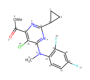 COC(=O)c1nc(C2CC2)nc(N(C)c2ccc(F)cc2F)c1Cl